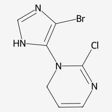 ClC1=NC=CCN1c1[nH]cnc1Br